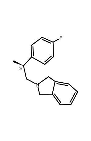 C[C@H](CN1Cc2ccccc2C1)c1ccc(F)cc1